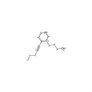 CCCC#Cc1ccncc1CCCO